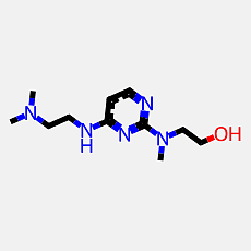 CN(C)CCNc1ccnc(N(C)CCO)n1